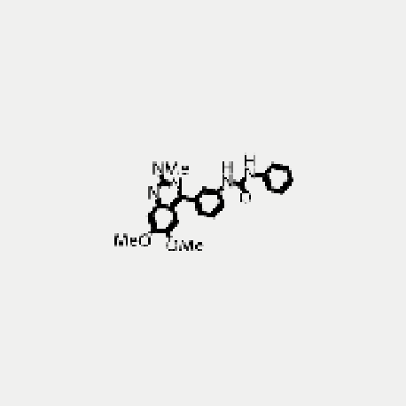 CNc1nc(-c2cccc(NC(=O)Nc3ccccc3)c2)c2cc(OC)c(OC)cc2n1